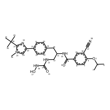 CC(C)Oc1ccc(C(=O)NC(CNC(=O)NO)Cc2ccc(-c3cn(C)c(C(C)(C)C)n3)cc2)cc1C#N